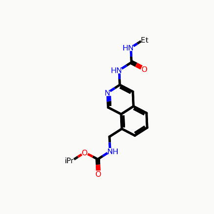 CCNC(=O)Nc1cc2cccc(CNC(=O)OC(C)C)c2cn1